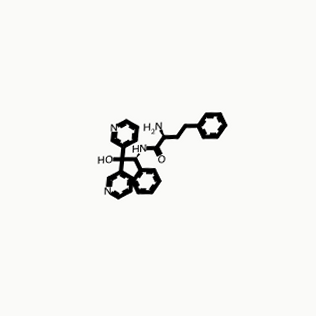 N[C@@H](CCc1ccccc1)C(=O)N[C@H](c1ccccc1)C(O)(c1cccnc1)c1cccnc1